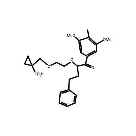 COc1cc(C(=O)C(CCc2ccccc2)NCCOCC2(C(=O)O)CC2)cc(OC)c1C